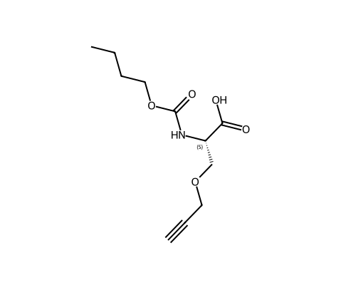 C#CCOC[C@H](NC(=O)OCCCC)C(=O)O